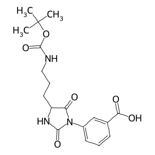 CC(C)(C)OC(=O)NCCCC1NC(=O)N(c2cccc(C(=O)O)c2)C1=O